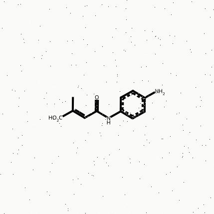 C/C(=C\C(=O)Nc1ccc(N)cc1)C(=O)O